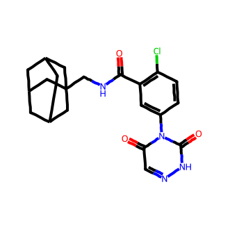 O=C(NCC12CC3CC(CC(C3)C1)C2)c1cc(-n2c(=O)cn[nH]c2=O)ccc1Cl